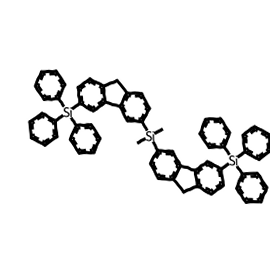 C[Si](C)(c1ccc2c(c1)-c1cc([Si](c3ccccc3)(c3ccccc3)c3ccccc3)ccc1C2)c1ccc2c(c1)-c1cc([Si](c3ccccc3)(c3ccccc3)c3ccccc3)ccc1C2